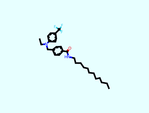 CCCCCCCCCCCCNC(=O)c1ccc(CN(CC)c2ccc(C(F)(F)F)cc2)cc1